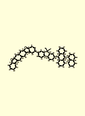 CC1(C)c2cc(-c3ccc4oc5cc6cc7oc8ccccc8c7cc6cc5c4c3)ccc2-c2ccc(-c3c4ccccc4c(-c4cccc5ccccc45)c4ccccc34)cc21